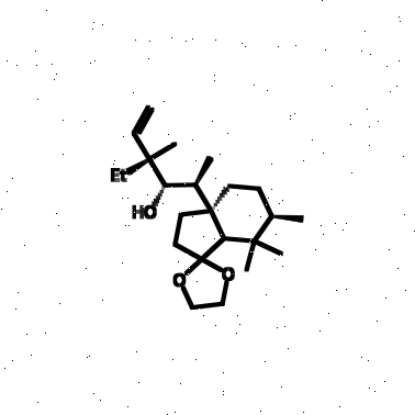 C=C[C@@](C)(CC)[C@@H](O)[C@@H](C)[C@@]12CC[C@@H](C)C(C)(C)C1C1(CC2)OCCO1